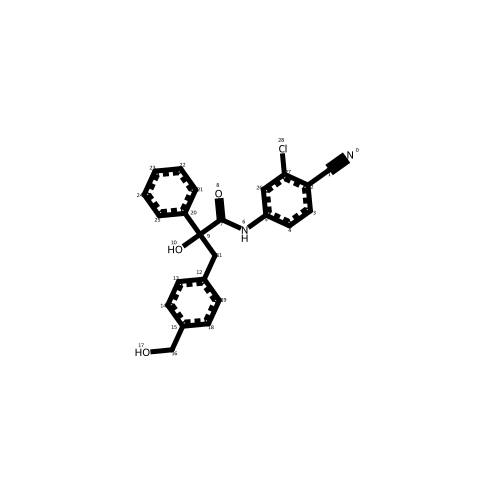 N#Cc1ccc(NC(=O)C(O)(Cc2ccc(CO)cc2)c2ccccc2)cc1Cl